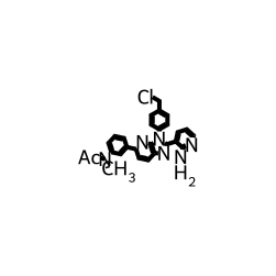 CC(=O)N(C)c1cccc(-c2ccc3nc(-c4cccnc4N)n(-c4ccc(CCl)cc4)c3n2)c1